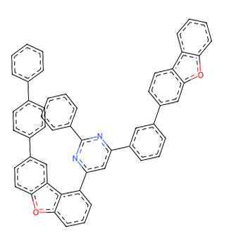 c1ccc(-c2ccc(-c3ccc4oc5cccc(-c6cc(-c7cccc(-c8ccc9c(c8)oc8ccccc89)c7)nc(-c7ccccc7)n6)c5c4c3)cc2)cc1